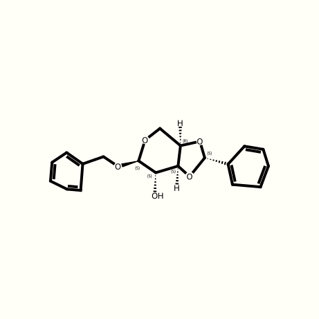 O[C@@H]1[C@@H](OCc2ccccc2)OC[C@H]2O[C@H](c3ccccc3)O[C@@H]12